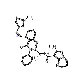 C[C@@H](NC(=O)c1c(N)nn2cccnc12)c1nc2cccc(/C=C\c3cnn(C)c3)c2c(=O)n1-c1ccccc1